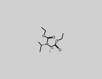 CCOC(=O)[C@H](C)N(C(=O)OCC)C(C)C